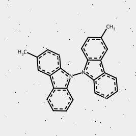 Cc1ccc2c(c1)c1ccccc1n2-n1c2ccccc2c2cc(C)ccc21